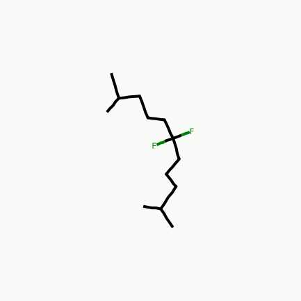 CC(C)CCCC(F)(F)CCCC(C)C